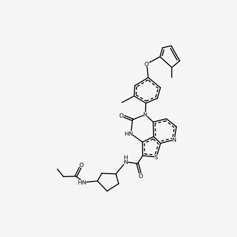 CCC(=O)NC1CCC(NC(=O)c2sc3nccc4c3c2NC(=O)N4c2ccc(OC3=CC=CC3C)cc2C)C1